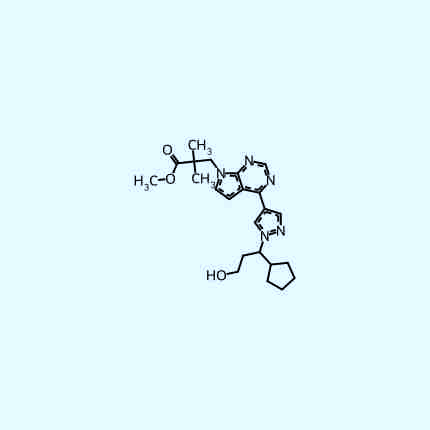 COC(=O)C(C)(C)Cn1ccc2c(-c3cnn(C(CCO)C4CCCC4)c3)ncnc21